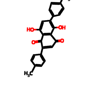 Cc1ccc(C2=CC(=O)c3c(O)c(-c4ccc(C)cc4)cc(O)c3C2=O)cc1